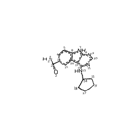 NC(=O)c1ccc2[nH]c3ncnc(NC4CCCC4)c3c2c1